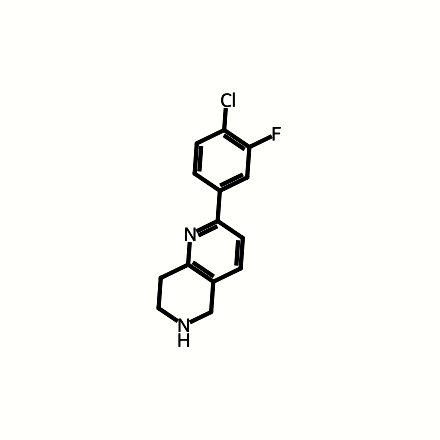 Fc1cc(-c2ccc3c(n2)CCNC3)ccc1Cl